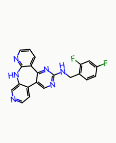 Fc1ccc(CNc2ncc3c(n2)-c2cccnc2Nc2cnccc2-3)c(F)c1